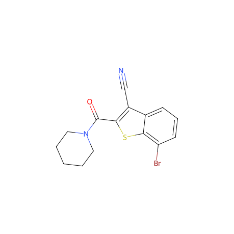 N#Cc1c(C(=O)N2CCCCC2)sc2c(Br)cccc12